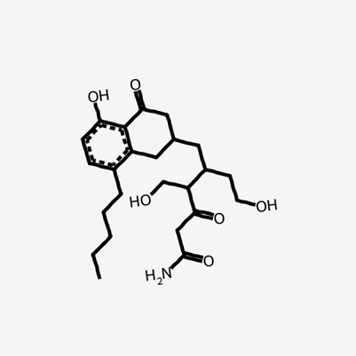 CCCCCc1ccc(O)c2c1CC(CC(CCO)C(CO)C(=O)CC(N)=O)CC2=O